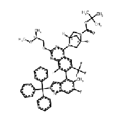 CO[C@@H](C)COc1nc(N2C[C@@H]3C[C@H]2CN3C(=O)OC(C)(C)C)c2cc(C(F)(F)F)c(-c3c(C)c(F)cc4nn(C(c5ccccc5)(c5ccccc5)c5ccccc5)cc34)c(F)c2n1